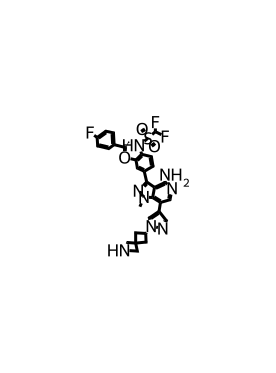 C[C@H](Oc1cc(-c2nn(C)c3c(-c4cnn(C5CC6(CNC6)C5)c4)cnc(N)c23)ccc1NS(=O)(=O)C(F)F)c1ccc(F)cc1